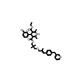 CCOC(=O)C1=C(C)NC(C)=C(C(=O)OCC(C)(C)COC/C(C)=C/c2ccc(Cc3cccnc3)cc2)C1c1cccc(Cl)c1Cl